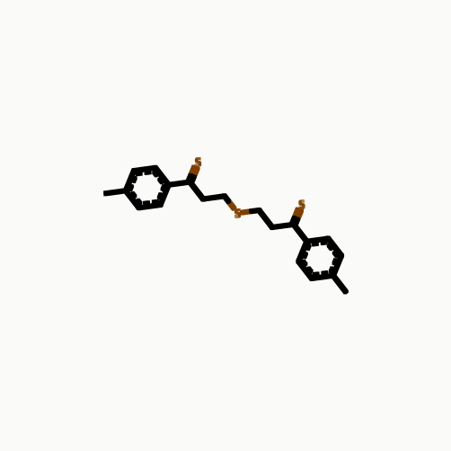 Cc1ccc(C(=S)CCSCCC(=S)c2ccc(C)cc2)cc1